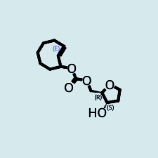 O=C(OC[C@H]1OCC[C@@H]1O)OC1/C=C/CCCCC1